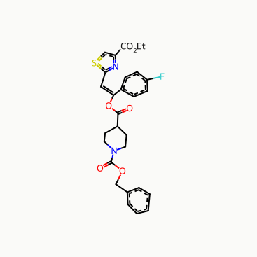 CCOC(=O)c1csc(C=C(OC(=O)C2CCN(C(=O)OCc3ccccc3)CC2)c2ccc(F)cc2)n1